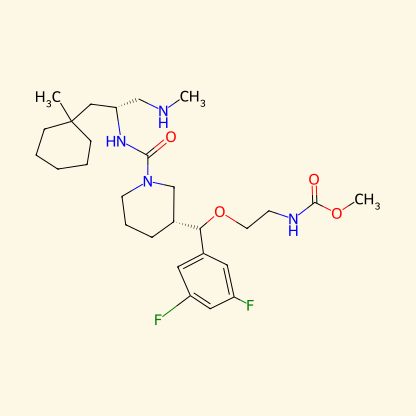 CNC[C@@H](CC1(C)CCCCC1)NC(=O)N1CCC[C@@H](C(OCCNC(=O)OC)c2cc(F)cc(F)c2)C1